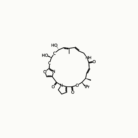 CC1=C\[C@@H](O)C[C@H](O)Cc2nc(co2)C(=O)N2CCC=C2C(=O)O[C@H](C(C)C)[C@H](C)/C=C/C(=O)NC\C=C\1